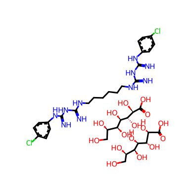 N=C(NCCCCCCNC(=N)NC(=N)Nc1ccc(Cl)cc1)NC(=N)Nc1ccc(Cl)cc1.O=C(O)[C@H](O)[C@H](O)[C@H](O)[C@@H](O)[C@H](O)CO.O=C(O)[C@H](O)[C@H](O)[C@H](O)[C@@H](O)[C@H](O)CO